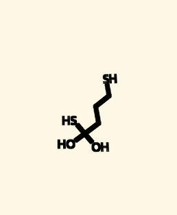 OC(O)(S)CCCS